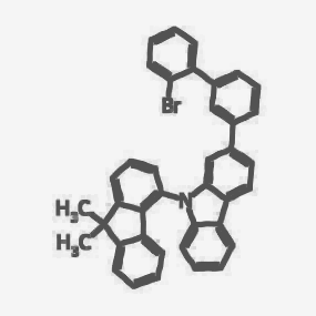 CC1(C)c2ccccc2-c2c(-n3c4ccccc4c4ccc(-c5cccc(-c6ccccc6Br)c5)cc43)cccc21